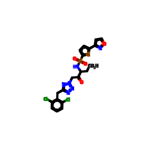 O=C(O)CC(NS(=O)(=O)c1ccc(-c2ccon2)s1)C(=O)Cn1nnc(Cc2c(Cl)cccc2Cl)n1